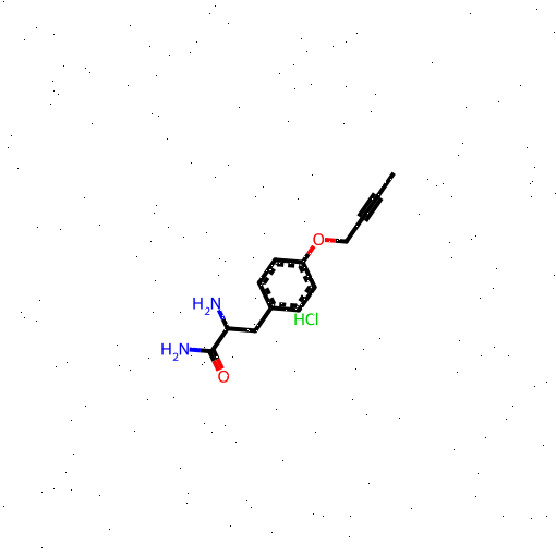 CC#CCOc1ccc(CC(N)C(N)=O)cc1.Cl